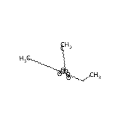 CCCCCC/C=C\CCCCCCCC(=O)OC[C@H](COC(=O)CCCCCCCCCCCCCCCCCCCCC)OC(=O)CCCCCCCCCCCCCCC